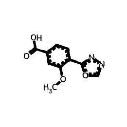 COc1cc(C(=O)O)ccc1-c1nnco1